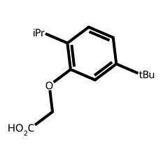 CC(C)c1ccc(C(C)(C)C)cc1OCC(=O)O